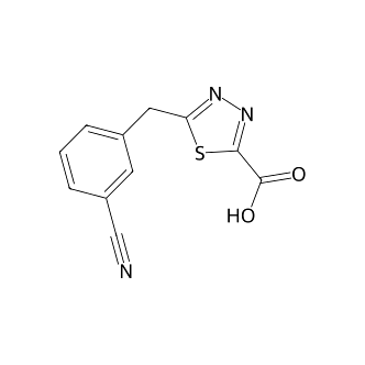 N#Cc1cccc(Cc2nnc(C(=O)O)s2)c1